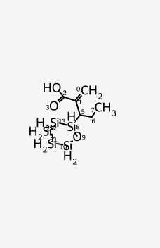 C=C(C(=O)O)C(CC)[SiH]1O[SiH2][SiH2][SiH2][SiH2]1